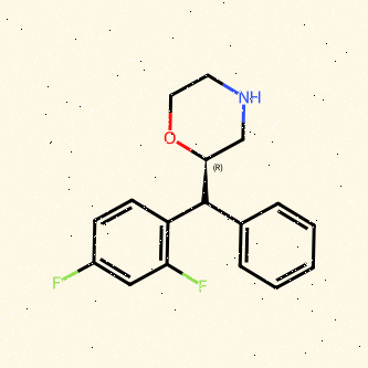 Fc1ccc(C(c2ccccc2)[C@@H]2CNCCO2)c(F)c1